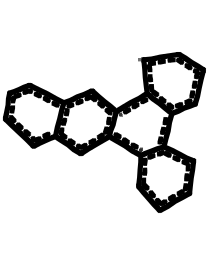 [c]1cccc2c1c1cc3ccccc3cc1c1ccccc21